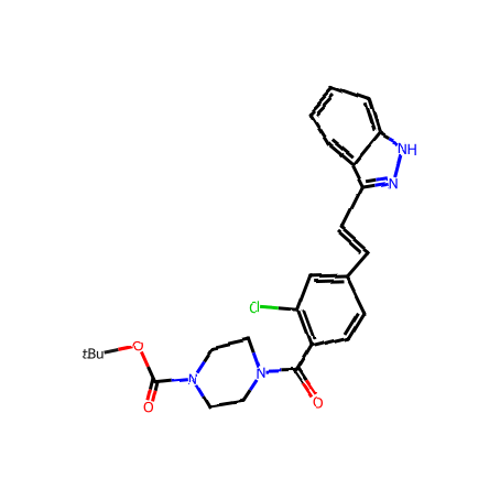 CC(C)(C)OC(=O)N1CCN(C(=O)c2ccc(/C=C/c3n[nH]c4ccccc34)cc2Cl)CC1